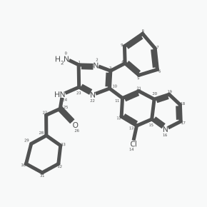 Nc1nc(-c2ccccc2)c(-c2cc(Cl)c3ncccc3c2)nc1NC(=O)CC1CCCCC1